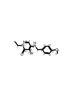 CCn1ncc(NCc2ccc(OC)cc2)c(Br)c1=O